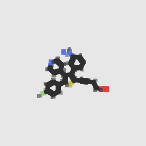 Nc1cccc(-c2c(C#CCCO)sc(-c3ccc(F)cc3)c2-c2ccncc2)c1